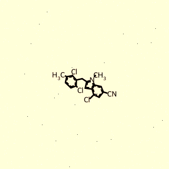 Cc1ccc(Cl)c(Cc2cc3c(Cl)cc(C#N)cc3n2C)c1Cl